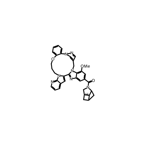 COc1cc(C(=O)N2CC3CC4CC2[C@H]43)cc2nc3n(c12)Cc1cnn(c1)-c1ccccc1OCCCn1c-3cc2cccnc21